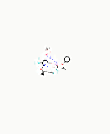 C=CCCC1(C(=O)c2nc(-c3nnc([C@@](CC=C)(OCc4ccccc4)C(F)(F)F)o3)c(NC(=O)OC(C)(C)C)cc2C(F)(F)F)CC1